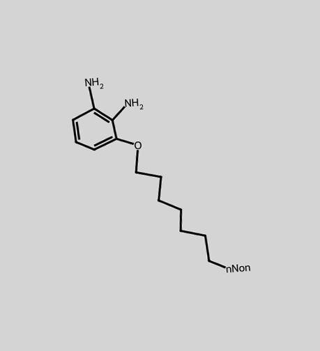 CCCCCCCCCCCCCCCCOc1cccc(N)c1N